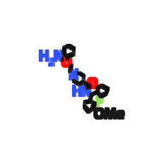 COc1cccc(C(NC(=O)C2CCN(CCOc3ccccc3N)CC2)c2ccccc2F)c1